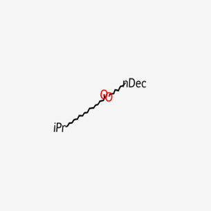 CCCCCCCCCCCCCCCCOC(=O)CCCCCCCCCCCCCCCC(C)C